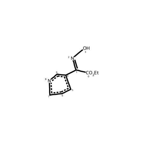 CCOC(=O)C(=NO)c1cccnc1